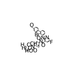 CC(C)(C)N(C(=O)O)C1CCC(n2c(=O)c3cc(F)cnc3n(-c3cccc(-c4ccc(C=O)cc4Br)c3)c2=O)CC1